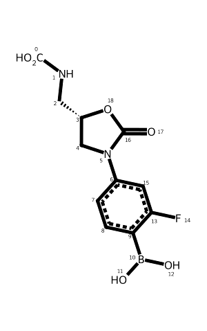 O=C(O)NC[C@H]1CN(c2ccc(B(O)O)c(F)c2)C(=O)O1